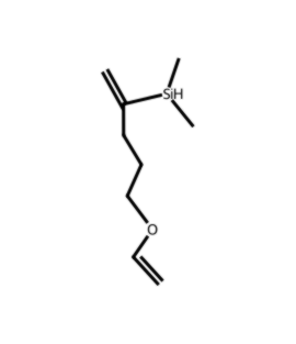 C=COCCCC(=C)[SiH](C)C